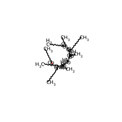 C=CCOP(=O)(OCCNC(=O)NCCOP(=O)(OCC=C)OC[C@H](COCC[C@@H](CCCCCCC)OC(=O)CCCCCCCCCCC)NC(=O)CCCCCCCCCCCCC)OC[C@H](COCC[C@@H](CCCCCCC)OC(=O)CCCCCCCCCCC)NC(=O)CCCCCCCCCCCCC